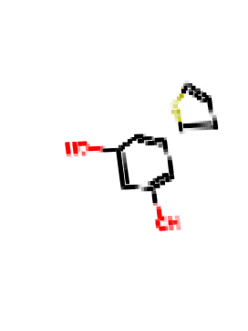 Oc1cccc(O)c1.c1ccsc1